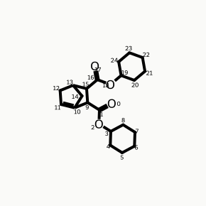 O=C(OC1CCCCC1)C1C2=CCC(C2)C1C(=O)OC1CCCCC1